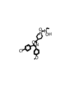 CCN(O)C(=O)N1CCC(c2nc(-c3ccc(OC)cc3)c(-c3ccc(Cl)cc3)o2)CC1